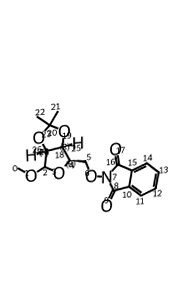 COC1O[C@H](CON2C(=O)c3ccccc3C2=O)[C@H]2OC(C)(C)O[C@@H]12